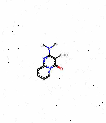 CCN(CC)c1nc2ccccn2c(=O)c1C=O